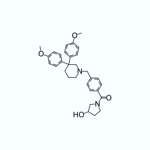 COc1ccc(C2(c3ccc(OC)cc3)CCCN(Cc3ccc(C(=O)N4CCC(O)C4)cc3)C2)cc1